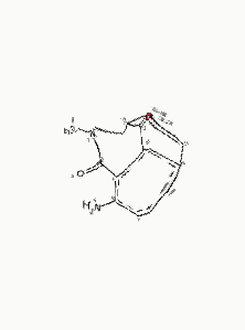 CCCCN1C(=O)c2c(N)ccc3c2C(=O)C1C=C3